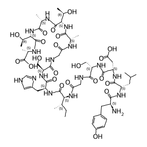 CC[C@H](C)[C@H](NC(=O)CNC(=O)[C@H](CO)NC(=O)[C@H](CC(=O)O)NC(=O)[C@H](CC(C)C)NC(=O)[C@@H](N)Cc1ccc(O)cc1)C(=O)N[C@@H](Cc1c[nH]cn1)C(=O)N[C@@H](CO)C(=O)NCC(=O)N[C@@H](C)C(=O)N[C@H](C(=O)N[C@@H](C)C(=O)N[C@H](C(=O)N[C@@H](C)C(=O)O)[C@@H](C)O)[C@@H](C)O